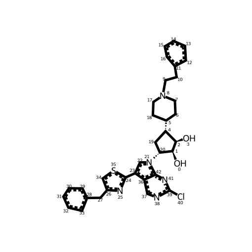 O[C@@H]1[C@H](O)[C@@H](C2CCN(CCc3ccccc3)CC2)C[C@H]1n1cc(-c2nc(Cc3ccccc3)cs2)c2cnc(Cl)nc21